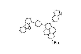 CC(C)(C)c1cc2ccc3c(-c4ccc(-c5cccc6c5oc5ccccc56)cc4)cc(-c4ccc5ncccc5c4)c4ccc(c1)c2c34